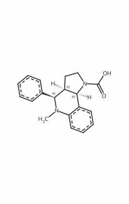 CN1c2ccccc2[C@H]2[C@H](CCN2C(=O)O)[C@@H]1c1ccccc1